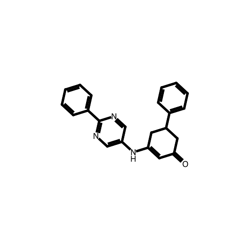 O=C1C=C(Nc2cnc(-c3ccccc3)nc2)CC(c2ccccc2)C1